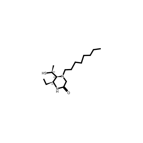 CCCCCCCCN1CC(=O)N[C@@H](CC)[C@H]1[C@H](C)S